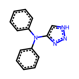 c1ccc(N(c2ccccc2)c2c[nH]nn2)cc1